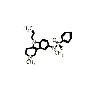 C=CCn1c2c(c3cc(N(C)S(=O)(=O)c4ccccc4)ccc31)CN(C)CC2